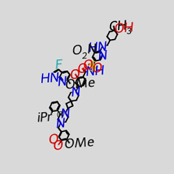 COc1ccc(CN2CCN(C3CC4(CCN(c5ccc(C(=O)NS(=O)(=O)c6cnc(NCC7CCC(C)(O)CC7)c([N+](=O)[O-])c6)c(Oc6cc7c(F)c[nH]c7nc6OC)c5)CC4)C3)[C@H](c3ccccc3C(C)C)C2)c2c1OCO2